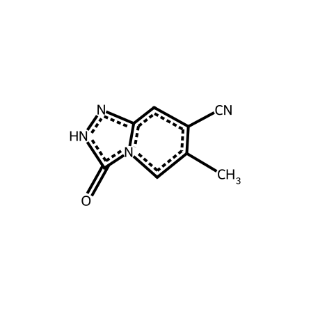 Cc1cn2c(=O)[nH]nc2cc1C#N